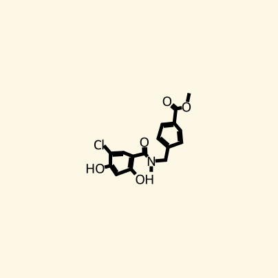 COC(=O)c1ccc(CN(C)C(=O)c2cc(Cl)c(O)cc2O)cc1